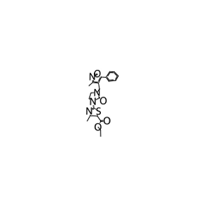 CCOC(=O)C1SC(N2CCN(Cc3c(C)noc3-c3ccccc3)C2=O)=NC1C